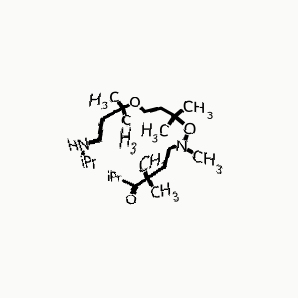 CC(C)NCCC(C)(C)OCCC(C)(C)ON(C)CCC(C)(C)C(=O)C(C)C